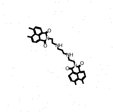 Cc1ccc2c3c(ccc(C)c13)C(=O)N(CCNCCCNCCN1C(=O)c3ccc(C)c4c(C)ccc(c34)C1=O)C2=O